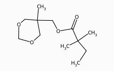 CCC(C)(C)C(=O)OCC1(C)COCOC1